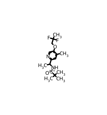 Cc1cc(C(C)N[S@+]([O-])C(C)(C)C)ncc1OCC(C)(F)F